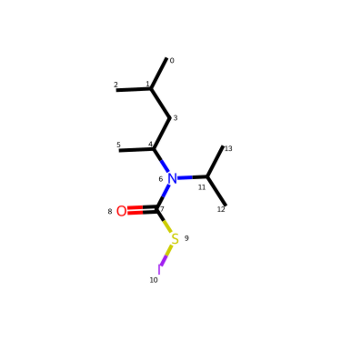 CC(C)CC(C)N(C(=O)SI)C(C)C